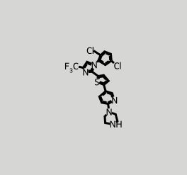 FC(F)(F)c1cn(-c2cc(Cl)ccc2Cl)c(-c2ccc(-c3ccc(N4CCNCC4)nc3)s2)n1